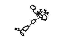 O=C(O)c1ccc(-c2ccc(-c3c4cccc(C(F)(F)F)c4nn3Cc3ccccc3)cc2)cc1